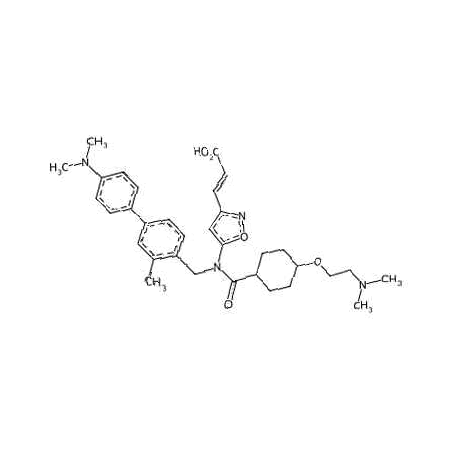 Cc1cc(-c2ccc(N(C)C)cc2)ccc1CN(C(=O)C1CCC(OCCN(C)C)CC1)c1cc(C=CC(=O)O)no1